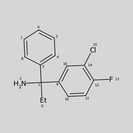 [CH2]CC(N)(c1ccccc1)c1ccc(F)c(Cl)c1